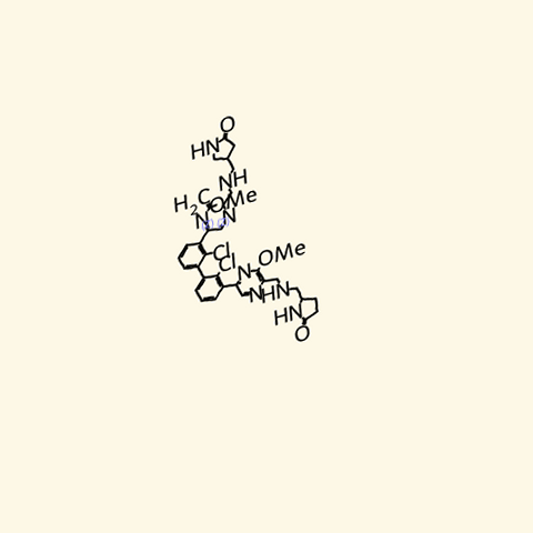 C=C(/N=C(\C=N/CCNCC1CNC(=O)C1)c1cccc(-c2cccc(-c3cnc(CNCC4CCC(=O)N4)c(OC)n3)c2Cl)c1Cl)OC